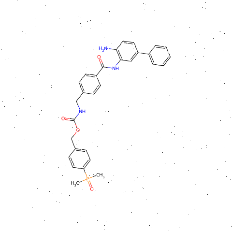 CP(C)(=O)c1ccc(COC(=O)NCc2ccc(C(=O)Nc3cc(-c4ccccc4)ccc3N)cc2)cc1